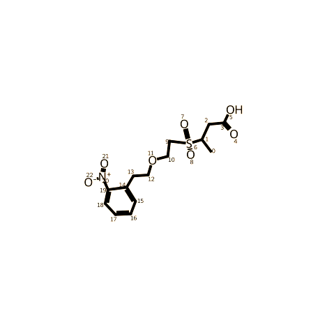 CC(CC(=O)O)S(=O)(=O)CCOCCc1ccccc1[N+](=O)[O-]